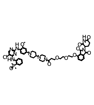 COc1cc(N2CCC(N3CCN(C(=O)CCOCCOCCOc4cccc5c4C(=O)N(C4CCC(=O)NC4=O)C5=O)CC3)CC2)ccc1Nc1ncc(Cl)c(Nc2ccccc2P(C)(C)=O)n1